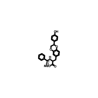 CC[C@H](NC(Cc1ccc2c(c1)OCC(c1ccc(O)cc1)O2)C(=O)OC)c1ccccc1